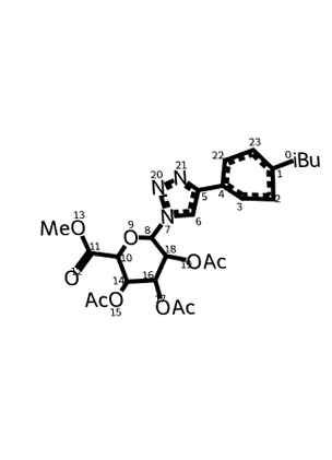 CCC(C)c1ccc(-c2cn(C3OC(C(=O)OC)C(OC(C)=O)C(OC(C)=O)C3OC(C)=O)nn2)cc1